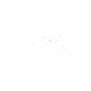 CCc1cc(N/C2=C\C/C=C\C=C3\C(c4ccc(OC)cc4F)=CN=C23)ccc1C(=O)CC(=N)CCCN